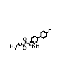 COC(=O)C(=O)c1c[nH]c2cc(-c3ccc(F)cc3)ccc12